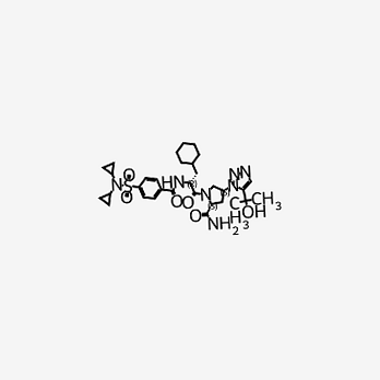 CC(C)(O)c1cnnn1[C@H]1C[C@@H](C(N)=O)N(C(=O)[C@@H](CC2CCCCC2)NC(=O)c2ccc(S(=O)(=O)N(C3CC3)C3CC3)cc2)C1